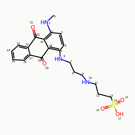 CNc1ccc(NCCCNCCCS(=O)(=O)O)c2c1C(=O)c1ccccc1C2=O